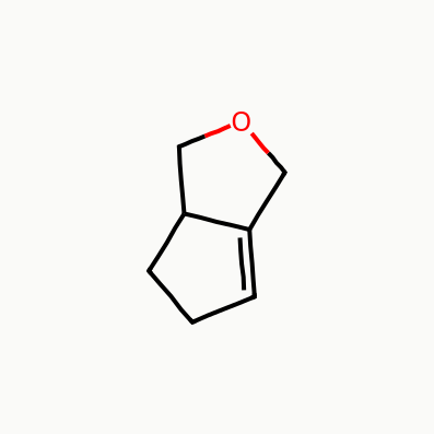 C1=C2COCC2CC1